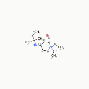 CCC(C)(C)NC1CC[N+](CC)(CC)CC1.[Br-]